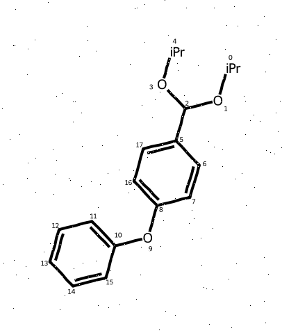 CC(C)OC(OC(C)C)c1ccc(Oc2ccccc2)cc1